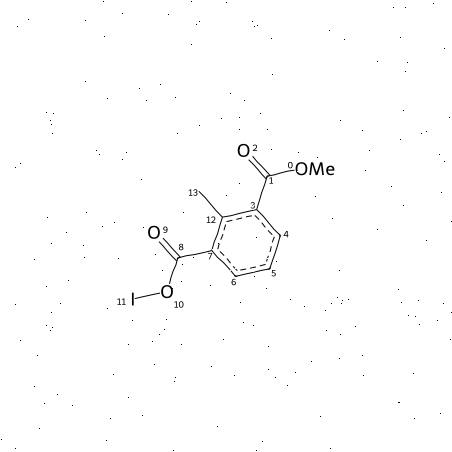 COC(=O)c1cccc(C(=O)OI)c1C